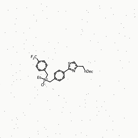 CCCCCCCCCCCc1csc(-c2ccc(C[N+]([O-])(CC)Cc3ccc(C(F)(F)F)cc3)cc2)n1